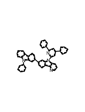 c1ccc(-c2cc(-c3ccccc3)nc(-n3c4cc(-c5ccc6c7ccccc7n(-c7ccccc7)c6c5)ccc4c4ncccc43)c2)cc1